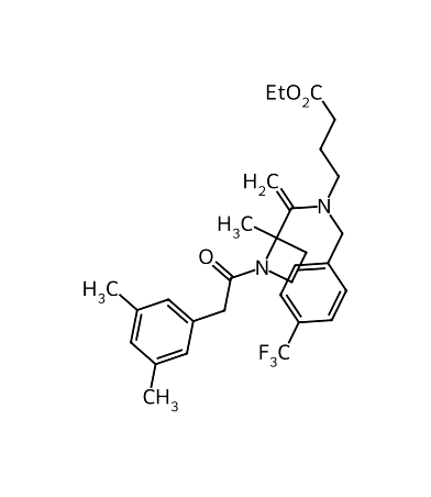 C=C(N(CCCC(=O)OCC)Cc1ccc(C(F)(F)F)cc1)C1(C)CCN1C(=O)Cc1cc(C)cc(C)c1